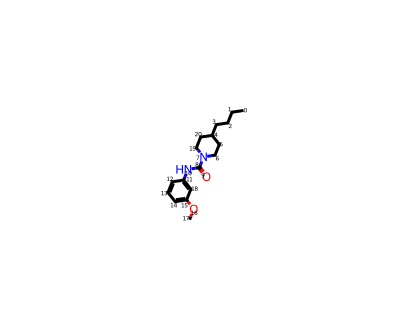 CCCCC1CCN(C(=O)Nc2cccc(OC)c2)CC1